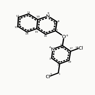 ClCc1cnc(Oc2cnc3ccccc3c2)c(Cl)c1